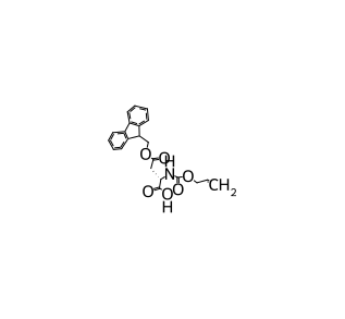 C=CCOC(=O)N[C@@H](CC(=O)OCC1c2ccccc2-c2ccccc21)C(=O)O